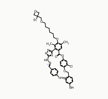 CCCCCCCc1ccc(/C=N/Nc2nnc(-c3c(C(=O)Oc4ccc(OCc5ccc(CCC)cc5)c(Cl)c4)cc(C)c(OCCCCCCOCC4(CC)COC4)c3C)s2)cc1